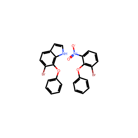 Brc1ccc2cc[nH]c2c1Oc1ccccc1.O=[N+]([O-])c1cccc(Br)c1Oc1ccccc1